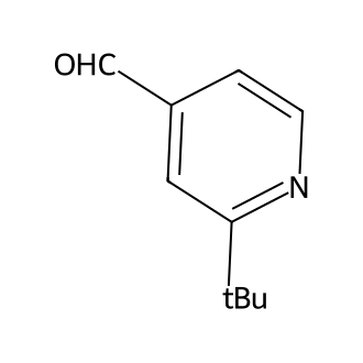 CC(C)(C)c1cc(C=O)ccn1